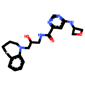 O=C(NCC(O)CN1CCCCc2ccccc21)c1cc(NC2COC2)ncn1